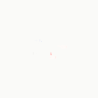 C[C@H](N)[C@H](O)CO